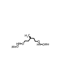 C=C(CCONOC)CCONOC